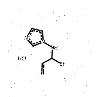 C=CC(CC)Nn1ccnc1.Cl